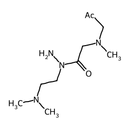 CC(=O)CN(C)CC(=O)N(N)CCN(C)C